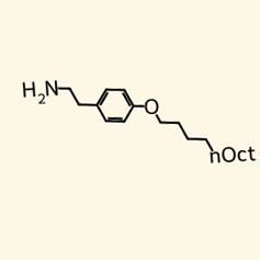 CCCCCCCCCCCCOc1ccc(CCN)cc1